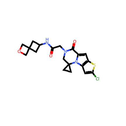 O=C(CN1CC2(CC2)n2c(cc3sc(Cl)cc32)C1=O)NC1CC2(COC2)C1